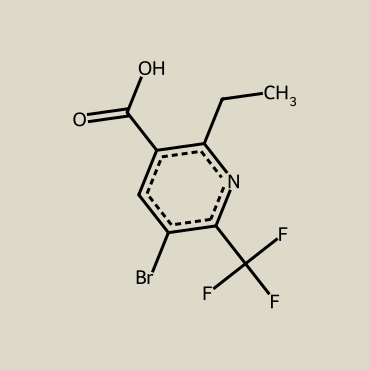 CCc1nc(C(F)(F)F)c(Br)cc1C(=O)O